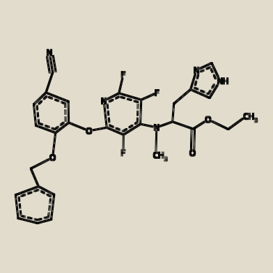 CCOC(=O)C(Cc1c[nH]cn1)N(C)c1c(F)c(F)nc(Oc2cc(C#N)ccc2OCc2ccccc2)c1F